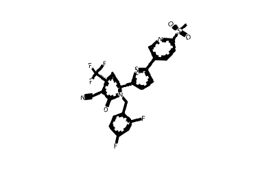 CS(=O)(=O)c1ccc(-c2ccc(-c3cc(C(F)(F)F)c(C#N)c(=O)n3Cc3ccc(F)cc3F)s2)cn1